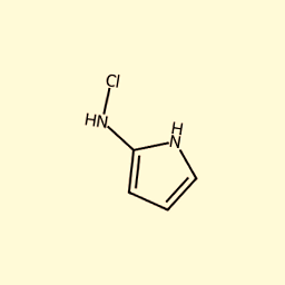 ClNc1ccc[nH]1